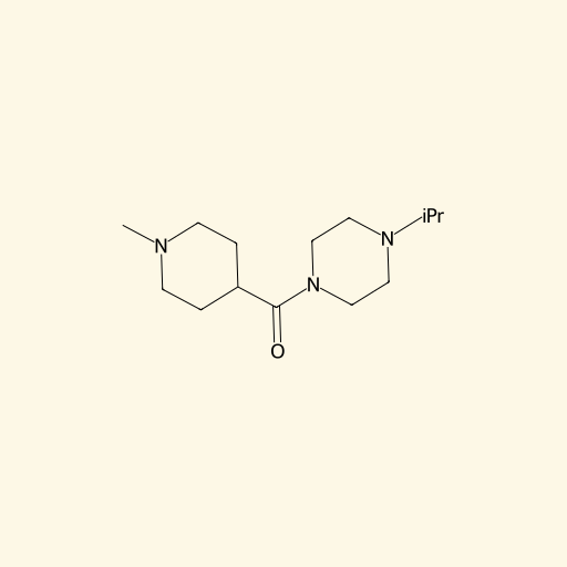 CC(C)N1CCN(C(=O)C2CCN(C)CC2)CC1